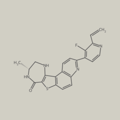 C=Cc1nccc(-c2ccc3c(ccc4sc5c(c43)NC[C@@H](C)NC5=O)n2)c1F